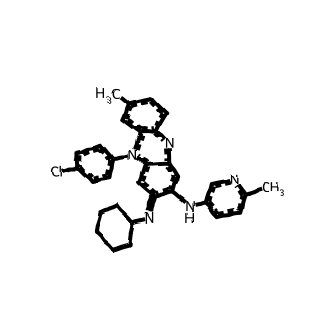 Cc1ccc2nc3cc(Nc4ccc(C)nc4)/c(=N/C4CCCCC4)cc-3n(-c3ccc(Cl)cc3)c2c1